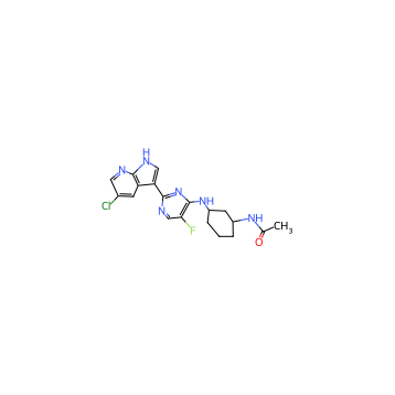 CC(=O)NC1CCCC(Nc2nc(-c3c[nH]c4ncc(Cl)cc34)ncc2F)C1